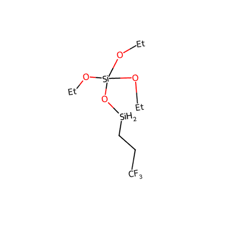 CCO[Si](OCC)(OCC)O[SiH2]CCC(F)(F)F